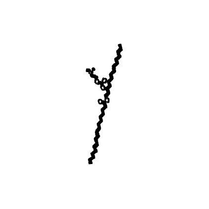 CCCCCC=CCC=CCCCCCCCC(=O)OCCC(CCCCCCCCCCCC)OC(=O)OCCN(C)C